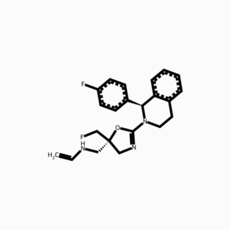 C=CNC[C@@]1(CF)CN=C(N2CCc3ccccc3[C@@H]2c2ccc(F)cc2)O1